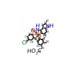 Cc1cc2c(NS(=O)(=O)c3ccc(Cl)cc3Cl)c(Oc3ccc(CC(=O)O)c(C)c3C)ccc2[nH]1